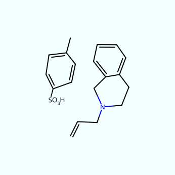 C=CCN1CCc2ccccc2C1.Cc1ccc(S(=O)(=O)O)cc1